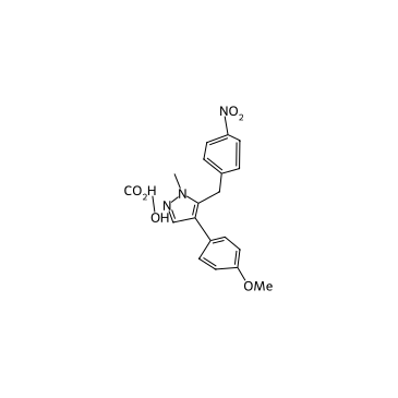 COc1ccc(-c2cnn(C)c2Cc2ccc([N+](=O)[O-])cc2)cc1.O=C(O)O